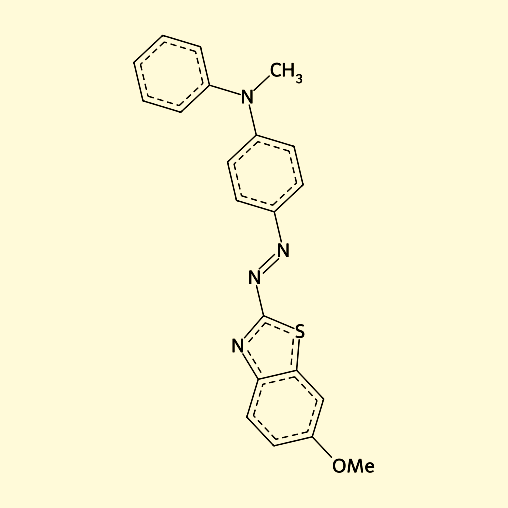 COc1ccc2nc(N=Nc3ccc(N(C)c4ccccc4)cc3)sc2c1